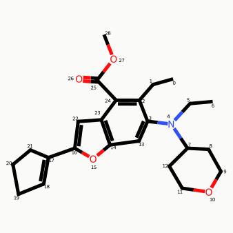 CCc1c(N(CC)C2CCOCC2)cc2oc(C3=CCCC3)cc2c1C(=O)OC